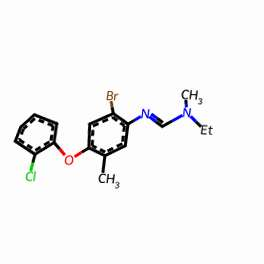 CCN(C)/C=N/c1cc(C)c(Oc2ccccc2Cl)cc1Br